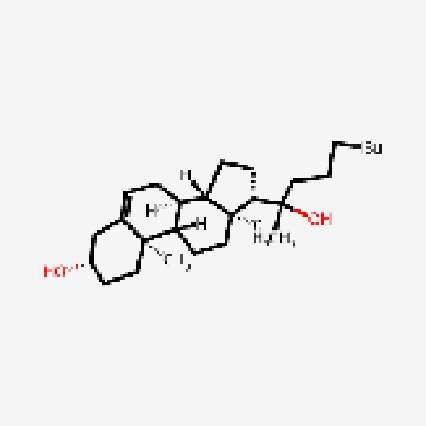 CCC(C)CCC[C@](C)(O)[C@H]1CC[C@H]2[C@@H]3CC=C4C[C@@H](O)CC[C@]4(C)[C@H]3CC[C@@]21C